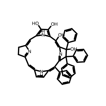 Oc1c(O)c2[nH]c1cc1nc(cc3ccc([nH]3)c(-c3ccccc3)c3nc(c2O)C(O)(c2ccccc2)C3(c2ccccc2)c2ccccc2)CC1